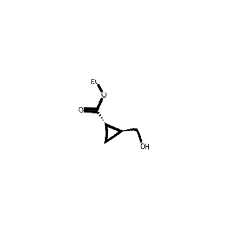 CCOC(=O)[C@H]1C[C@@H]1CO